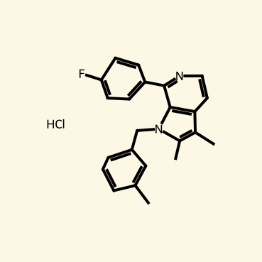 Cc1cccc(Cn2c(C)c(C)c3ccnc(-c4ccc(F)cc4)c32)c1.Cl